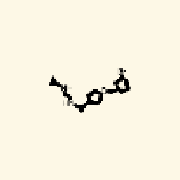 Brc1cccc(COc2ccc(C3CC3NCCNC3CC3)cc2)c1